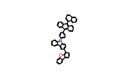 c1ccc2c(-c3c4ccccc4c(-c4ccc(-n5c6ccccc6c6cc(-c7cccc8c7oc7ccccc78)ccc65)cc4)c4ccccc34)cccc2c1